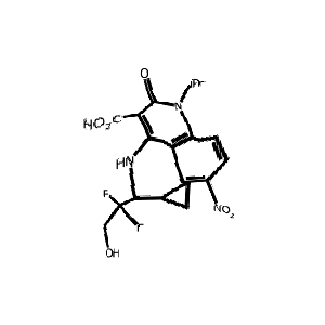 CC(C)n1c(=O)c(C(=O)O)c(NC(C2CC2)C(F)(F)CO)c2cc([N+](=O)[O-])ccc21